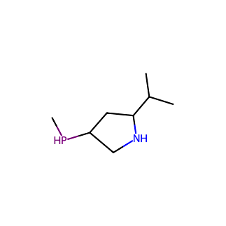 CPC1CNC(C(C)C)C1